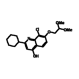 COC(COc1ccc2c(O)cc(C3CCCCC3)nc2c1Cl)OC